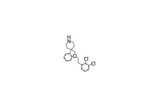 Clc1cccc(CCOCC2(c3ccccc3)CCNCC2)c1Cl